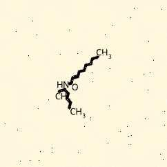 CCCCCCC/C=C/C(=O)NC(CC)CCCCC